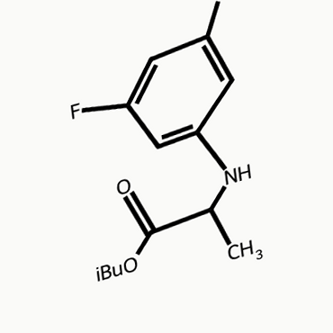 CC(C)COC(=O)C(C)Nc1cc(F)cc(F)c1